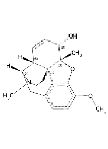 COc1ccc2c3c1O[C@@]1(C)[C@@H](O)C=C[C@H]4[C@@H](C2)N(C)CC[C@@]341